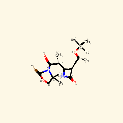 C[C@@H](O[Si](C)(C)C(C)(C)C)C1C(=O)NC1[C@@H](C)C(=O)N1C(=S)OCC1(C)C